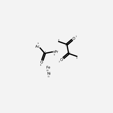 CC(=O)C(C)=O.CCCC(=O)C(C)=O.[Fe].[Ni]